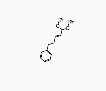 CC(C)OC(C=CCCc1ccccc1)OC(C)C